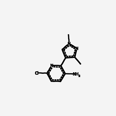 Cc1nn(C)cc1-c1nc(Cl)ccc1N